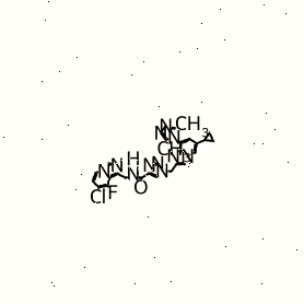 Cc1nnc(C)n1-c1cc(C2CC2)cn2cc(Cn3cc(C(=O)NCc4ncn5ccc(Cl)c(F)c45)nn3)nc12